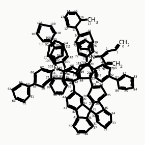 C=C/C=C(\C=C)N(c1ccc(C2C=CC=CC2C)cc1)c1cc(-c2ccc3c(c2)C2(c4ccccc4-3)c3ccccc3-c3ccc(-c4cc(N(c5ccccc5)c5ccc(-c6ccccc6)cc5)cc(N(c5ccccc5)c5ccc(-c6ccccc6)cc5)c4)cc32)cc(N(c2ccccc2)c2ccc(-c3ccccc3)cc2)c1